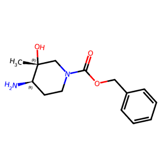 C[C@@]1(O)CN(C(=O)OCc2ccccc2)CC[C@H]1N